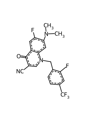 CN(C)c1cc2c(cc1F)c(=O)c(C#N)cn2Cc1ccc(C(F)(F)F)cc1F